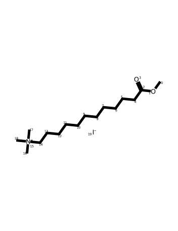 COC(=O)CCCCCCCCCCC[N+](C)(C)C.[I-]